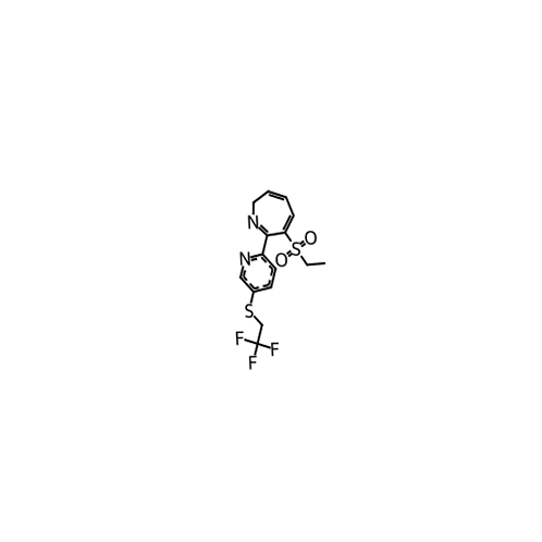 CCS(=O)(=O)C1=CC=CCN=C1c1ccc(SCC(F)(F)F)cn1